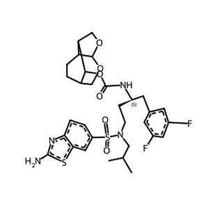 CC(C)CN(CC[C@H](Cc1cc(F)cc(F)c1)NC(=O)OC1C2CCC3C(OC2)OCC31)S(=O)(=O)c1ccc2nc(N)sc2c1